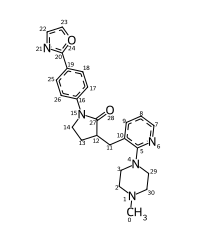 CN1CCN(c2ncccc2CC2CCN(c3ccc(-c4ncco4)cc3)C2=O)CC1